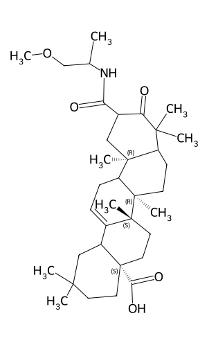 COCC(C)NC(=O)C1C[C@@]2(C)C(CC[C@]3(C)C2CC=C2C4CC(C)(C)CC[C@]4(C(=O)O)CC[C@]23C)C(C)(C)C1=O